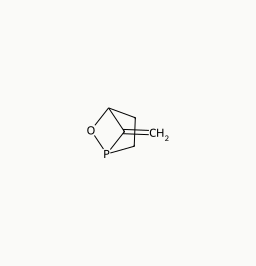 C=C1C2CCP1O2